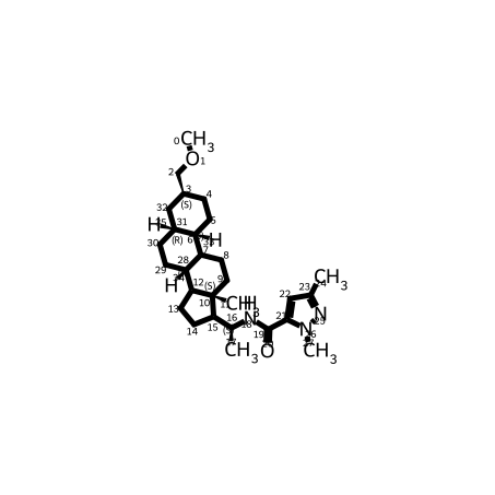 COC[C@H]1CC[C@@H]2C3CC[C@@]4(C)C(CCC4[C@H](C)NC(=O)c4cc(C)nn4C)[C@@H]3CC[C@@H]2C1